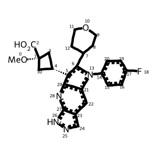 CO[C@]1(C(=O)O)C[C@H](c2c(C3CCOCC3)n(-c3ccc(F)cc3)c3cc4cn[nH]c4nc32)C1